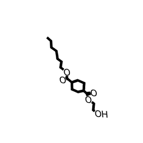 CCCCCCCOC(=O)C1CCC(C(=O)OCCO)CC1